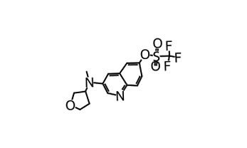 CN(c1cnc2ccc(OS(=O)(=O)C(F)(F)F)cc2c1)C1CCOC1